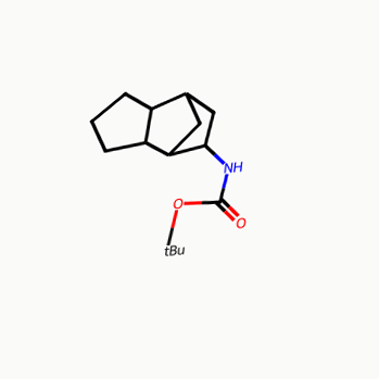 CC(C)(C)OC(=O)NC1CC2CC1C1CCCC21